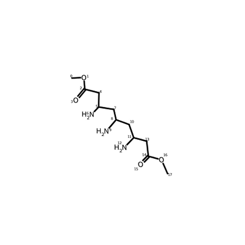 COC(=O)CC(N)CC(N)CC(N)CC(=O)OC